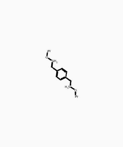 CC(C)O[SiH2]Cc1ccc(C[SiH2]OC(C)C)cc1